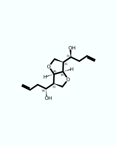 C=CC[C@@H](O)[C@@H]1CO[C@@H]2[C@H]([C@@H](O)CC=C)CO[C@H]12